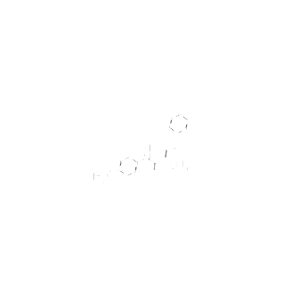 C/C(=C\Sc1ccccc1)C(=O)Nc1ccc(C)cc1